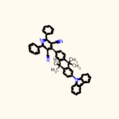 CC1(C)c2ccc(-n3c4ccccc4c4ccccc43)cc2C(C)(C)c2ccc(-c3c(C#N)c(-c4ccccc4)nc(-c4ccccc4)c3C#N)cc21